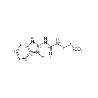 Cn1c(NC(=O)NCCC(=O)O)nc2ccccc21